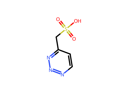 O=S(=O)(O)Cc1ccnnn1